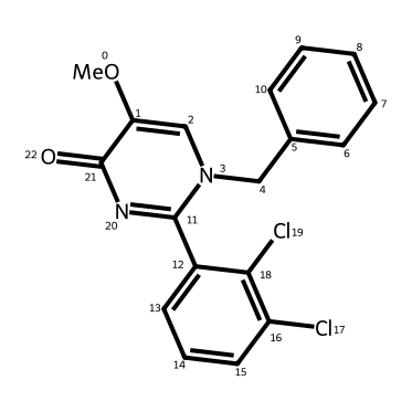 COc1cn(Cc2ccccc2)c(-c2cccc(Cl)c2Cl)nc1=O